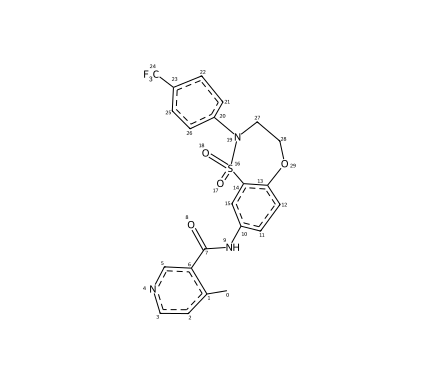 Cc1ccncc1C(=O)Nc1ccc2c(c1)S(=O)(=O)N(c1ccc(C(F)(F)F)cc1)CCO2